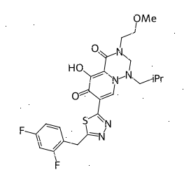 COCCN1CN(CC(C)C)n2cc(-c3nnc(Cc4ccc(F)cc4F)s3)c(=O)c(O)c2C1=O